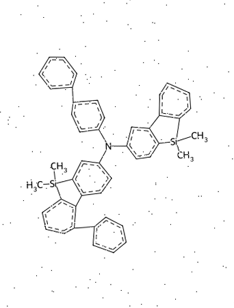 C[Si]1(C)c2ccccc2-c2cc(N(c3ccc(-c4ccccc4)cc3)c3ccc4c(c3)[Si](C)(C)c3cccc(-c5ccccc5)c3-4)ccc21